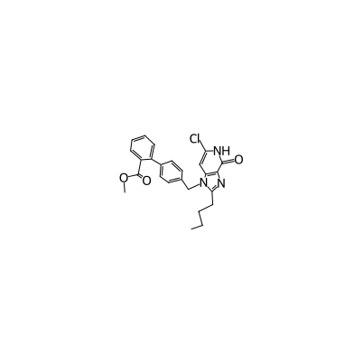 CCCCc1nc2c(=O)[nH]c(Cl)cc2n1Cc1ccc(-c2ccccc2C(=O)OC)cc1